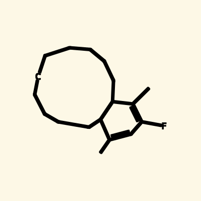 CC1=CC(F)=C(C)C2CCCCCCCCCCC12